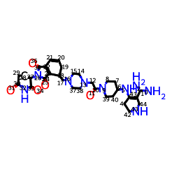 NC(N)C1=C(NC2CCN(C(=O)CN3CCN(CC4CC=CC5=C4C(=O)N(C4CCC(=O)NC4=O)C5=O)CC3)CC2)CCNC1